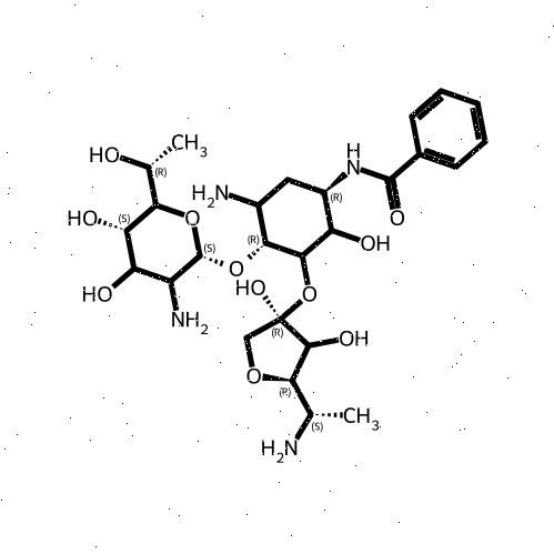 C[C@H](N)[C@H]1OC[C@@](O)(OC2C(O)[C@H](NC(=O)c3ccccc3)CC(N)[C@H]2O[C@H]2OC([C@@H](C)O)[C@@H](O)C(O)C2N)C1O